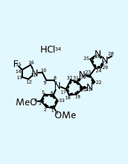 COc1cc(OC)cc(N(CCCN2CCC(F)C2)c2ccc3ncc(-c4cnn(C)c4)nc3c2)c1.Cl